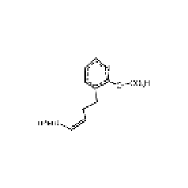 CCCCC/C=C\CCc1cccnc1OC(=O)O